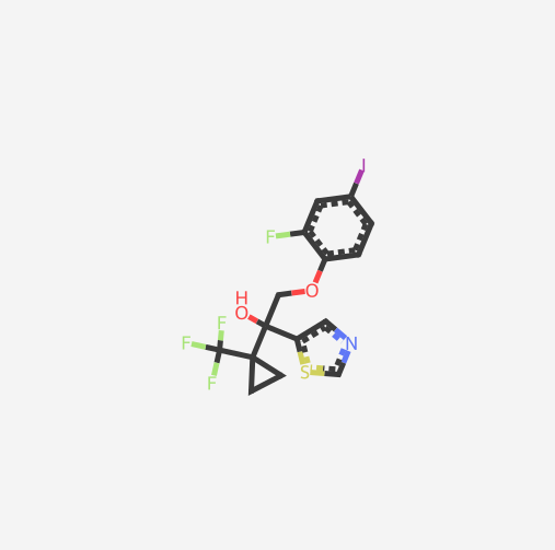 OC(COc1ccc(I)cc1F)(c1cncs1)C1(C(F)(F)F)CC1